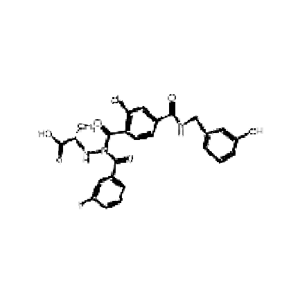 C[C@H](NN(C(=O)c1cccc(I)c1)C(=O)c1ccc(C(=O)NCc2cccc(O)c2)cc1Cl)C(=O)O